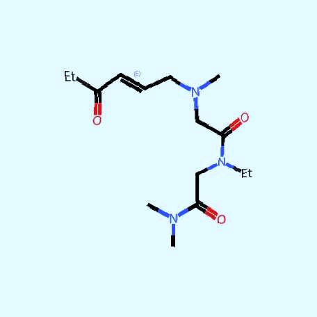 CCC(=O)/C=C/CN(C)CC(=O)N(CC)CC(=O)N(C)C